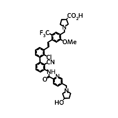 COc1cc(/C=C/c2cccc(-c3cccc(NC(=O)c4ccc(CN5CC[C@@H](O)C5)cn4)c3C#N)c2Cl)c(C(F)(F)F)cc1CN1CC[C@@H](C(=O)O)C1